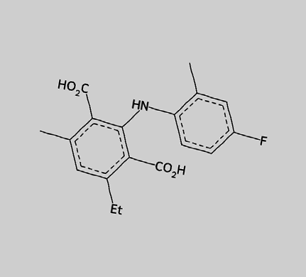 CCc1cc(C)c(C(=O)O)c(Nc2ccc(F)cc2C)c1C(=O)O